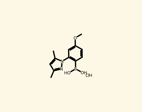 COc1ccc(B(O)O)c(-n2nc(C)cc2C)c1.Cl